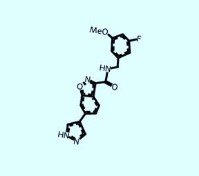 COc1cc(F)cc(CNC(=O)c2noc3cc(-c4cn[nH]c4)ccc23)c1